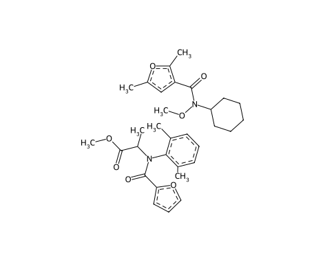 COC(=O)C(C)N(C(=O)c1ccco1)c1c(C)cccc1C.CON(C(=O)c1cc(C)oc1C)C1CCCCC1